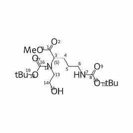 COC(=O)[C@H](CCCNC(=O)OC(C)(C)C)N(CCO)C(=O)OC(C)(C)C